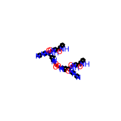 Cc1cc(CC(NC(=O)N2CCC(c3cc4ccccc4[nH]c3=O)CC2)C(=O)N2CCN(C3CCN(C)CC3)CC2)cc2cn(COC(=O)OCn3cc4cc(CC(NC(=O)N5CCC(c6cc7ccccc7[nH]c6=O)CC5)C(=O)N5CCN(C6CCN(C)CC6)CC5)cc(C)c4n3)nc12